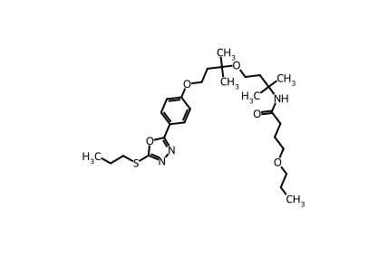 CCCOCCCC(=O)NC(C)(C)CCOC(C)(C)CCOc1ccc(-c2nnc(SCCC)o2)cc1